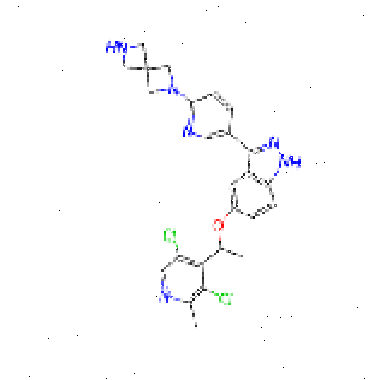 Cc1ncc(Cl)c(C(C)Oc2ccc3[nH]nc(-c4ccc(N5CC6(CNC6)C5)nc4)c3c2)c1Cl